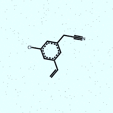 C=Cc1cc(Cl)cc(CC#N)c1